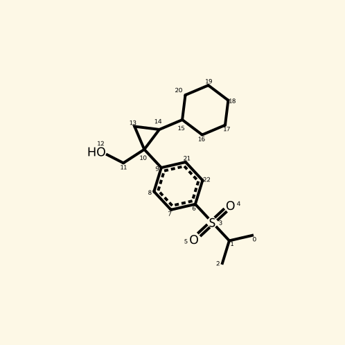 CC(C)S(=O)(=O)c1ccc(C2(CO)CC2C2CCCCC2)cc1